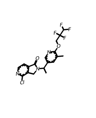 Cc1cc(C(C)N2Cc3c(ccnc3Cl)C2=O)cnc1OCC(F)(F)C(F)F